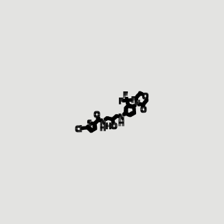 O=C(NCC(O)CNc1ccc(N2CCOCC2=O)c(C(F)(F)F)c1)c1ccc(Cl)s1